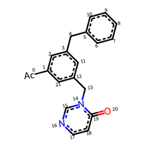 CC(=O)c1cc(Cc2ccccc2)cc(Cn2cnccc2=O)c1